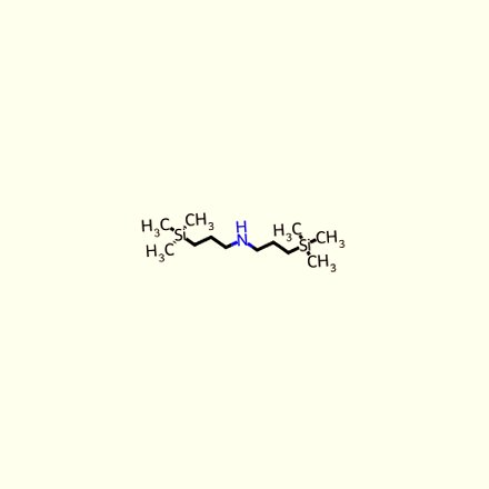 C[Si](C)(C)CCCNCCC[Si](C)(C)C